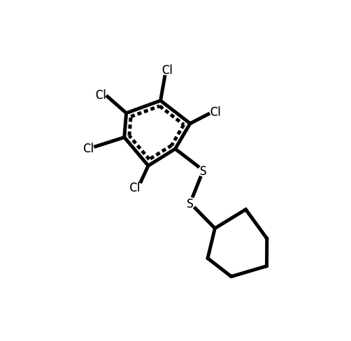 Clc1c(Cl)c(Cl)c(SSC2CCCCC2)c(Cl)c1Cl